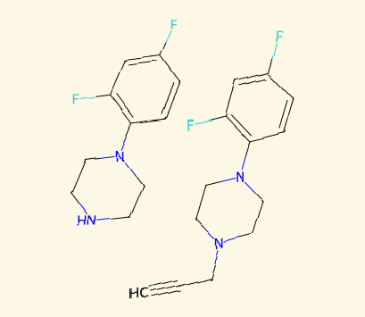 C#CCN1CCN(c2ccc(F)cc2F)CC1.Fc1ccc(N2CCNCC2)c(F)c1